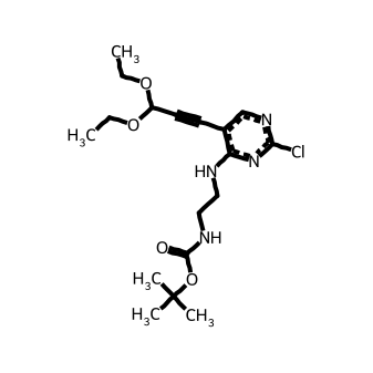 CCOC(C#Cc1cnc(Cl)nc1NCCNC(=O)OC(C)(C)C)OCC